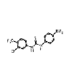 Nc1ccc(NC(=S)Nc2ccc(C(F)(F)F)c(Cl)c2)cc1